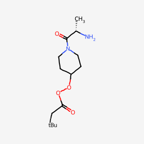 C[C@H](N)C(=O)N1CCC(OOC(=O)CC(C)(C)C)CC1